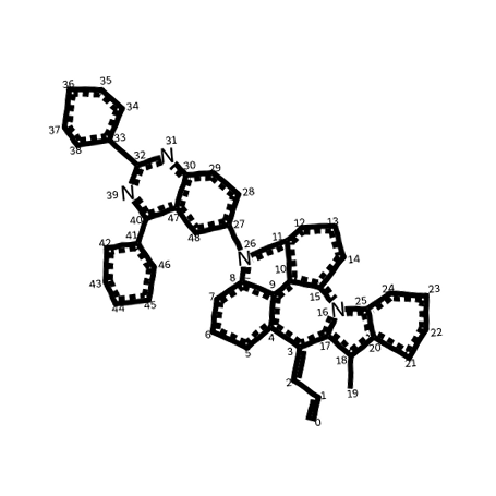 C=C/C=c1/c2cccc3c2c2c(cccc2n2c1c(C)c1ccccc12)n3-c1ccc2nc(-c3ccccc3)nc(-c3ccccc3)c2c1